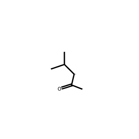 CC(=O)[CH]C(C)C